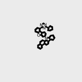 c1ccc(-c2ncnc(-c3cccc4oc5cc(-n6c7ccccc7c7ccc8c9ccccc9ccc8c76)ccc5c34)n2)cc1